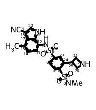 CNS(=O)(=O)c1ccc(S(=O)(=O)Nc2ccc(C)c3c(C#N)c[nH]c23)cc1C1CNC1